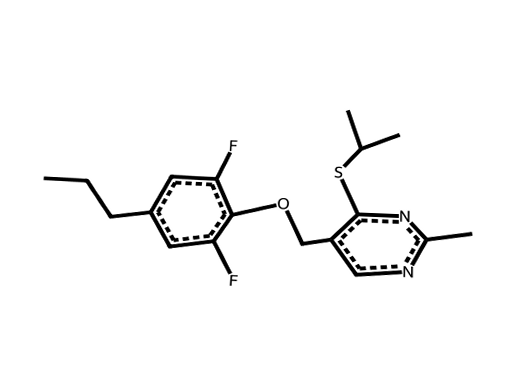 CCCc1cc(F)c(OCc2cnc(C)nc2SC(C)C)c(F)c1